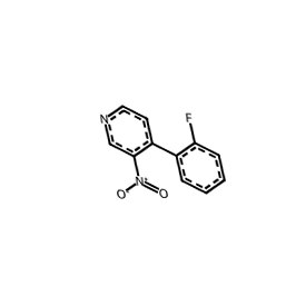 O=[N+]([O-])c1cnccc1-c1ccccc1F